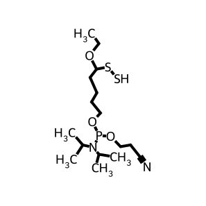 CCOC(CCCCOP(OCCC#N)N(C(C)C)C(C)C)SS